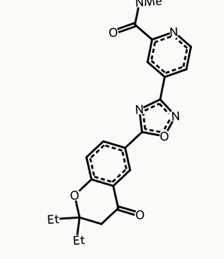 CCC1(CC)CC(=O)c2cc(-c3nc(-c4ccnc(C(=O)NC)c4)no3)ccc2O1